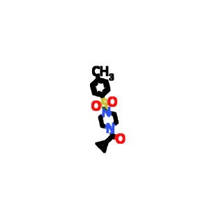 Cc1ccc(S(=O)(=O)N2CCN(C(=O)C3CC3)CC2)cc1